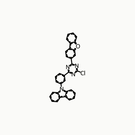 Clc1nc(-c2cccc(-n3c4ccccc4c4ccccc43)c2)nc(-c2ccc3c(c2)oc2ccccc23)n1